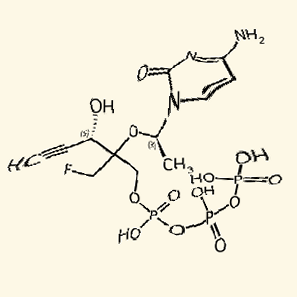 C#C[C@H](O)C(CF)(COP(=O)(O)OP(=O)(O)OP(=O)(O)O)O[C@H](C)n1ccc(N)nc1=O